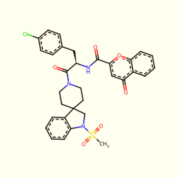 CS(=O)(=O)N1CC2(CCN(C(=O)[C@@H](Cc3ccc(Cl)cc3)NC(=O)c3cc(=O)c4ccccc4o3)CC2)c2ccccc21